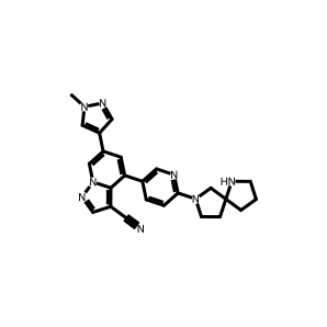 Cn1cc(-c2cc(-c3ccc(N4CCC5(CCCN5)C4)nc3)c3c(C#N)cnn3c2)cn1